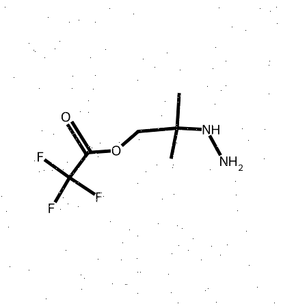 CC(C)(COC(=O)C(F)(F)F)NN